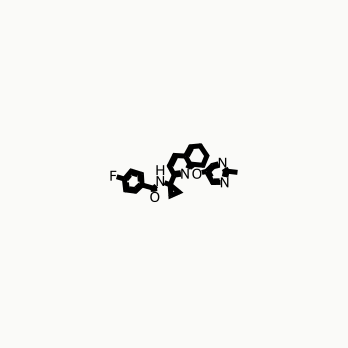 Cc1ncc(OC23CCCC=C2C=CC(C2(NC(=O)c4ccc(F)cc4)CC2)=N3)cn1